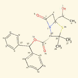 CC(O)C12CC(=O)N1[C@@H](C(=O)OC(c1ccccc1)c1ccccc1)C(C)(C)S2